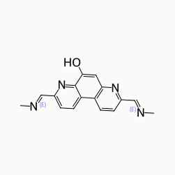 C/N=C/c1ccc2c(cc(O)c3nc(/C=N/C)ccc32)n1